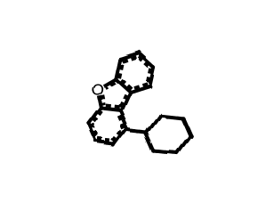 c1ccc2c(c1)oc1cccc([C]3CCCCC3)c12